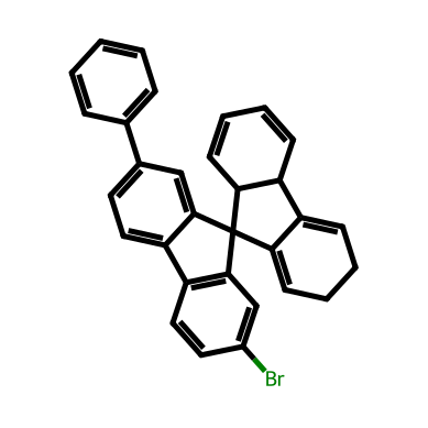 Brc1ccc2c(c1)C1(C3=CCCC=C3C3C=CC=CC31)c1cc(-c3ccccc3)ccc1-2